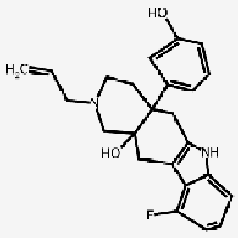 C=CCN1CCC2(c3cccc(O)c3)Cc3[nH]c4cccc(F)c4c3CC2(O)C1